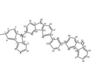 Cc1ccc2c(c1)c1ccccc1n2-c1ccc2sc3ccc(-c4cccc(-c5ccc6oc7ccccc7c6c5)c4)cc3c2c1